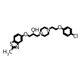 Cc1nc2cc(OC[C@H](O)CN3CCN(CCOc4ccc(Cl)cc4)CC3)ccc2s1